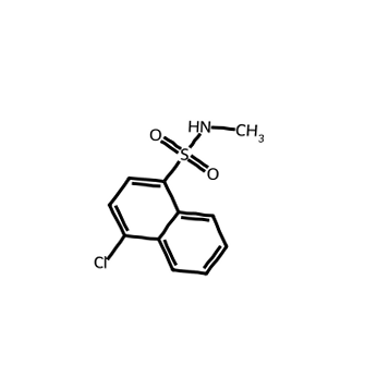 CNS(=O)(=O)c1ccc(Cl)c2ccccc12